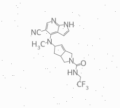 CN(c1c(C#N)cnc2[nH]ccc12)C1C=C2CN(C(=O)NCC(F)(F)F)CC2C1